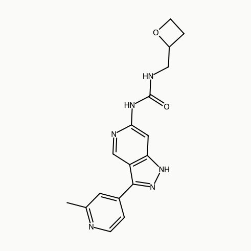 Cc1cc(-c2n[nH]c3cc(NC(=O)NCC4CCO4)ncc23)ccn1